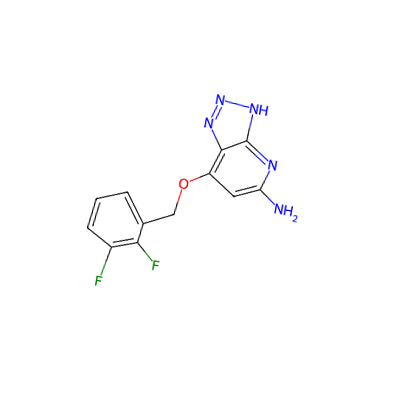 Nc1cc(OCc2cccc(F)c2F)c2nn[nH]c2n1